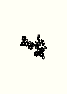 COc1ccc(C(OCC2OC(n3cnc4c(N(Cc5cccc(C)c5)C(=O)COc5ccccc5)ncnc43)C(OC)C2OP(OCCC#N)N(C(C)C)C(C)C)(c2ccccc2)c2ccc(OC)cc2)cc1